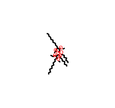 CCCCCCCCCCC(OCC)=C(OCC)C(OCCCCCCC)OC(OCCCCCCC)C(OCC)=C(CCCCCCCCCC)OCC